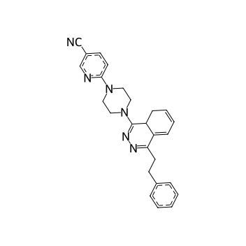 N#Cc1ccc(N2CCN(C3=NN=C(CCc4ccccc4)C4=CC=CCC43)CC2)nc1